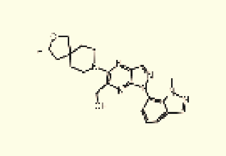 C[C@H]1CC2(CCN(c3nc4cnn(-c5cccc6cnn(C)c56)c4nc3CO)CC2)CO1